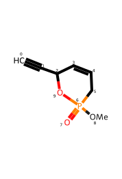 C#CC1C=CCP(=O)(OC)O1